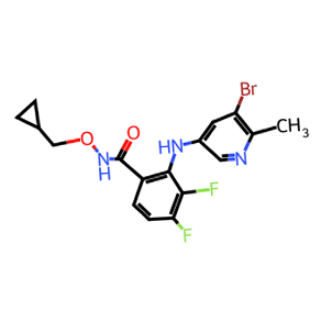 Cc1ncc(Nc2c(C(=O)NOCC3CC3)ccc(F)c2F)cc1Br